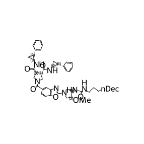 CCCCCCCCCCCCCNC(=O)N[C@H]1CN(c2nc3cc(C(=O)N4C[C@@H](C(=O)N[C@H]5C[C@@H]5c5ccccc5)[C@H](C(=O)N[C@H]5C[C@@H]5c5ccccc5)C4)ccc3o2)C[C@@H]1OC